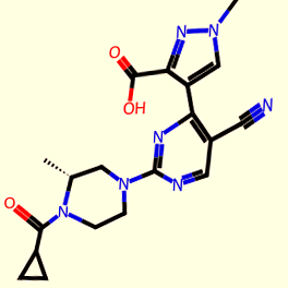 C[C@@H]1CN(c2ncc(C#N)c(-c3cn(C)nc3C(=O)O)n2)CCN1C(=O)C1CC1